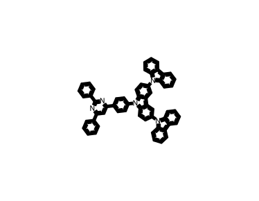 c1ccc(-c2cc(-c3ccc(-n4c5ccc(-n6c7ccccc7c7ccccc76)cc5c5cc(-n6c7ccccc7c7ccccc76)ccc54)cc3)nc(-c3ccccc3)n2)cc1